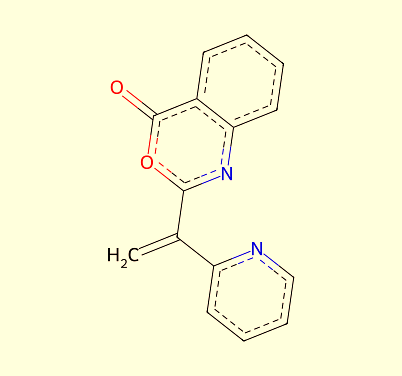 C=C(c1ccccn1)c1nc2ccccc2c(=O)o1